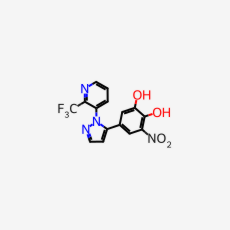 O=[N+]([O-])c1cc(-c2ccnn2-c2cccnc2C(F)(F)F)cc(O)c1O